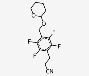 N#CCCc1c(F)c(F)c(COC2CCCCO2)c(F)c1F